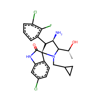 C[C@@H](O)C1[C@H](N)C(c2cccc(Cl)c2F)[C@@]2(C(=O)Nc3cc(Cl)ccc32)N1CC1CC1